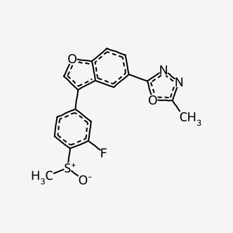 Cc1nnc(-c2ccc3occ(-c4ccc([S+](C)[O-])c(F)c4)c3c2)o1